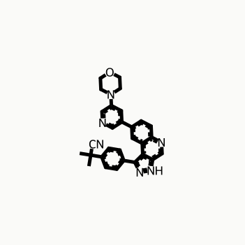 CC(C)(C#N)c1ccc(-c2n[nH]c3cnc4ccc(-c5cncc(N6CCOCC6)c5)cc4c23)cc1